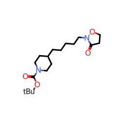 CC(C)(C)OC(=O)N1CCC(CCCCCN2OCCC2=O)CC1